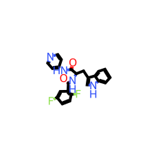 O=C(NC(Cc1c[nH]c2ccccc12)C(=O)Nc1ccncc1)c1cc(F)ccc1F